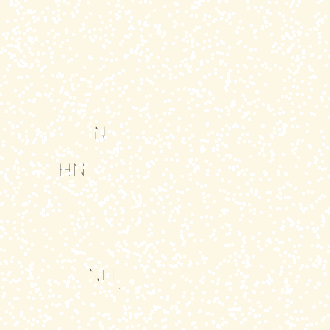 Cc1c(-c2ccccc2)n[nH]c1N